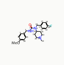 COc1ccc(CNC(=O)N(Cc2ccc(F)cc2)C2CCN(C)CC2)cc1